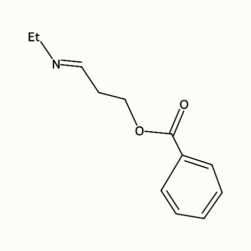 CCN=CCCOC(=O)c1ccccc1